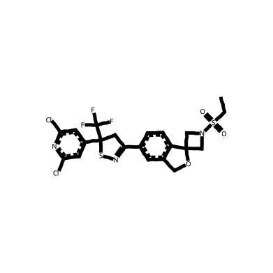 CCS(=O)(=O)N1CC2(C1)OCc1cc(C3=NSC(c4cc(Cl)nc(Cl)c4)(C(F)(F)F)C3)ccc12